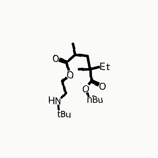 CCCCOC(=O)C(C)(CC)CC(C)C(=O)OCCNC(C)(C)C